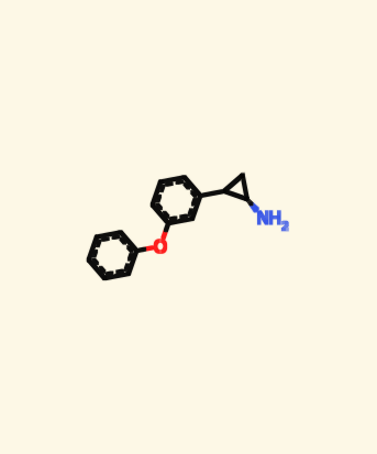 N[C@@H]1CC1c1cccc(Oc2ccccc2)c1